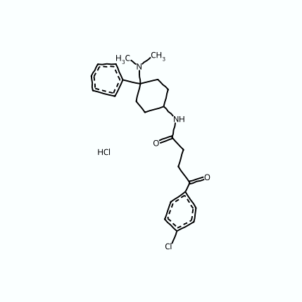 CN(C)C1(c2ccccc2)CCC(NC(=O)CCC(=O)c2ccc(Cl)cc2)CC1.Cl